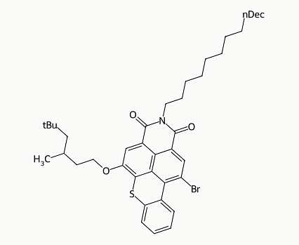 CCCCCCCCCCCCCCCCCCn1c(=O)c2cc(OCCC(C)CC(C)(C)C)c3sc4ccccc4c4c(Br)cc(c1=O)c2c34